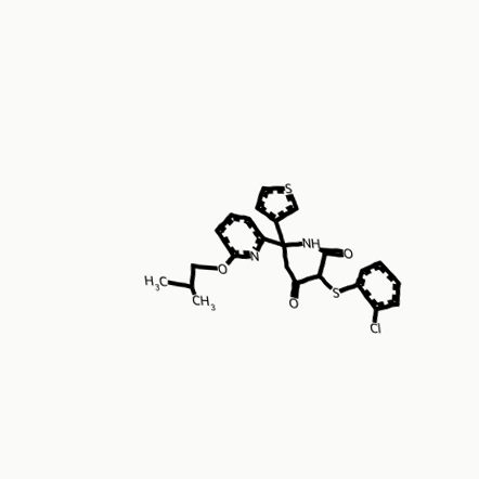 CC(C)COc1cccc(C2(c3ccsc3)CC(=O)C(Sc3ccccc3Cl)C(=O)N2)n1